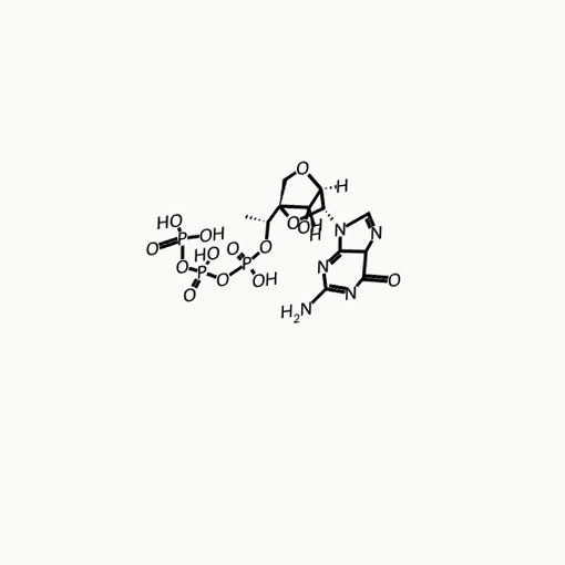 C[C@@H](OP(=O)(O)OP(=O)(O)OP(=O)(O)O)[C@@]12CO[C@@H]([C@H](N3C=NC4C(=O)N=C(N)N=C43)O1)[C@@H]2O